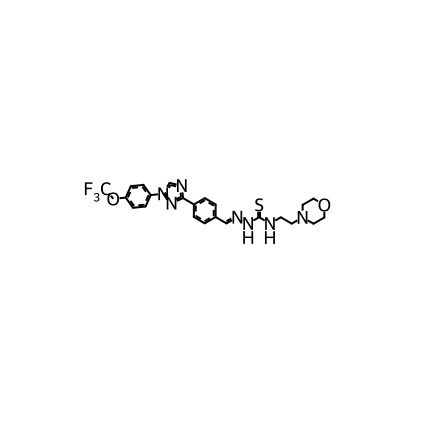 FC(F)(F)Oc1ccc(-n2cnc(-c3ccc(/C=N/NC(=S)NCCN4CCOCC4)cc3)n2)cc1